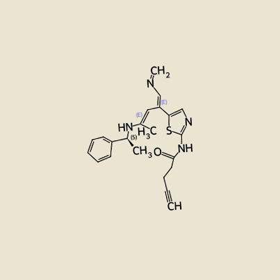 C#CCCC(=O)Nc1ncc(C(/C=C(\C)N[C@@H](C)c2ccccc2)=C/N=C)s1